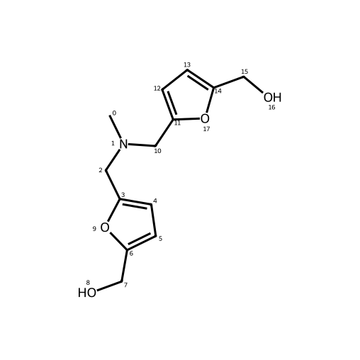 CN(Cc1ccc(CO)o1)Cc1ccc(CO)o1